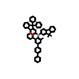 Cc1cc(-c2ccc(-c3ccccc3)cc2)cc(-c2ccccc2)c1N(c1ccc2c(c1)C(C)(C)c1ccccc1-2)c1ccc2c(c1)C(c1ccccc1)(c1ccccc1)c1ccccc1-2